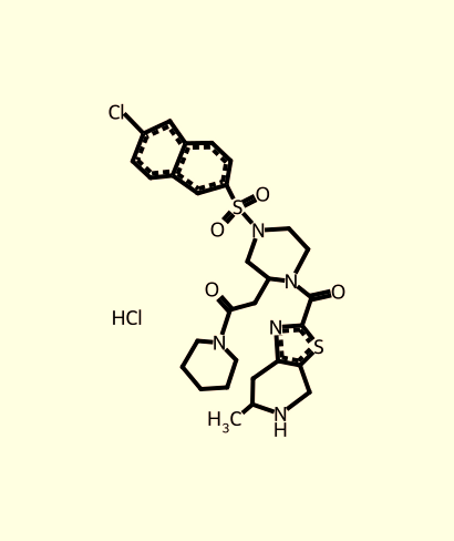 CC1Cc2nc(C(=O)N3CCN(S(=O)(=O)c4ccc5cc(Cl)ccc5c4)CC3CC(=O)N3CCCCC3)sc2CN1.Cl